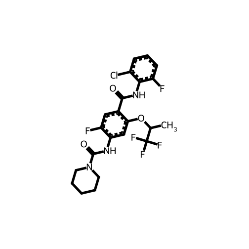 CC(Oc1cc(NC(=O)N2CCCCC2)c(F)cc1C(=O)Nc1c(F)cccc1Cl)C(F)(F)F